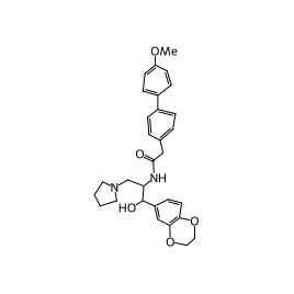 COc1ccc(-c2ccc(CC(=O)NC(CN3CCCC3)C(O)c3ccc4c(c3)OCCO4)cc2)cc1